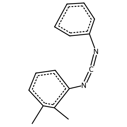 Cc1cccc(N=C=Nc2ccccc2)c1C